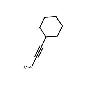 CSC#CC1CCCCC1